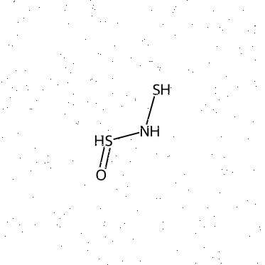 O=[SH]NS